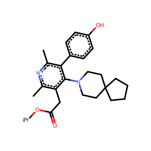 Cc1nc(C)c(-c2ccc(O)cc2)c(N2CCC3(CCCC3)CC2)c1CC(=O)OC(C)C